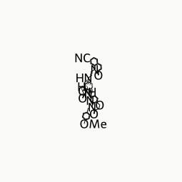 COc1ccc(CN2C(=O)COc3ccc(N4C(=O)O[C@H]5C[C@@H](NCCn6c(=O)ccc7ccc(C#N)cc76)CC[C@@H]54)nc32)cc1